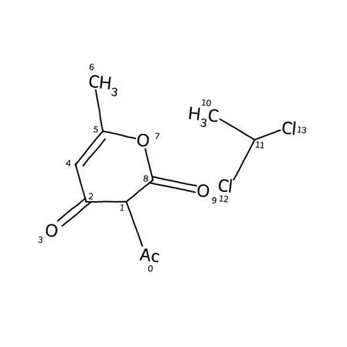 CC(=O)C1C(=O)C=C(C)OC1=O.CC(Cl)Cl